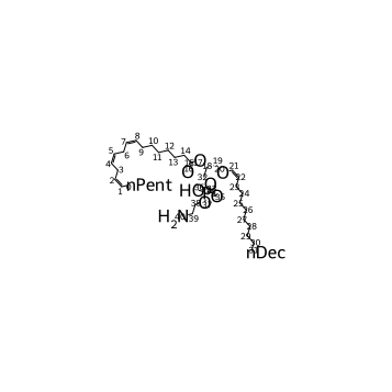 CCCCC/C=C\C/C=C\C/C=C\CCCCCCC(=O)O[C@H](CO/C=C\CCCCCCCCCCCCCCCCCC)COP(=O)(O)OCCN